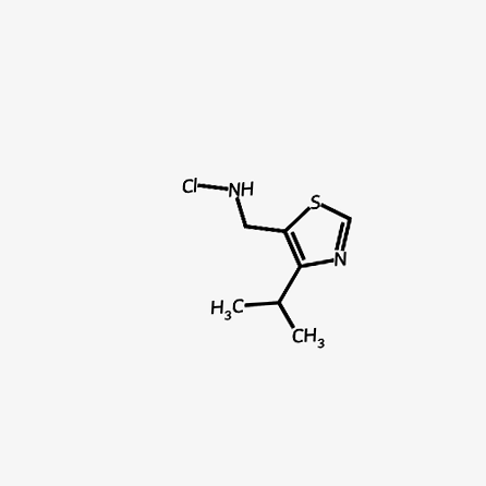 CC(C)c1ncsc1CNCl